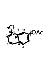 CC(=O)Oc1ccc2ccc[n+](C)c2c1